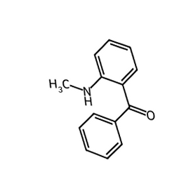 CNc1ccccc1C(=O)c1ccccc1